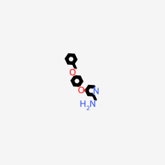 NCc1cc(Oc2ccc(OCc3ccccc3)cc2)ccn1